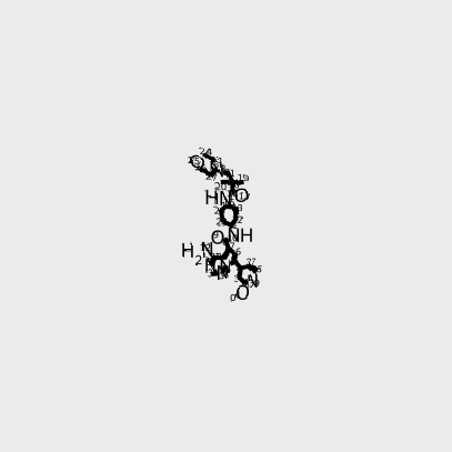 COc1cc(-c2cc(C(=O)NC3CCC(NC(=O)C(C)(C)CN4CCOCC4)CC3)c3c(N)ncnn23)ccn1